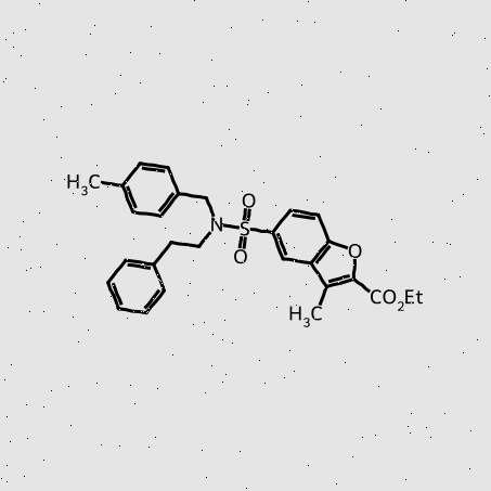 CCOC(=O)c1oc2ccc(S(=O)(=O)N(CCc3ccccc3)Cc3ccc(C)cc3)cc2c1C